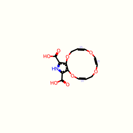 O=C(O)c1[nH]c(C(=O)O)c2c1O/C=C\CO/C=C\O/C=C\CO2